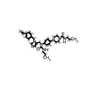 CCCNC(=O)N(Cc1cncn1Cc1ccc(C#N)cc1)c1ccc(N2CCN(C(=S)NCCC)CC2)cc1